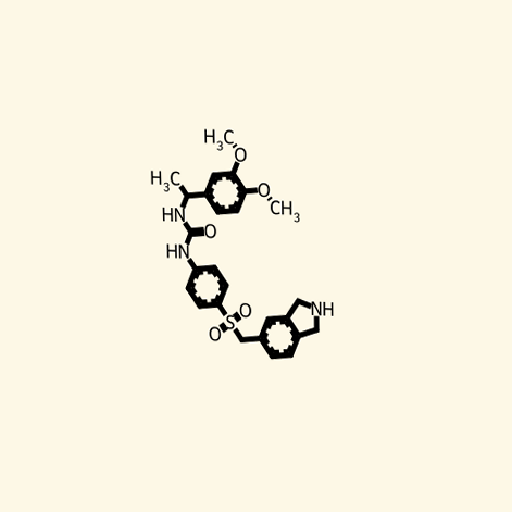 COc1ccc(C(C)NC(=O)Nc2ccc(S(=O)(=O)Cc3ccc4c(c3)CNC4)cc2)cc1OC